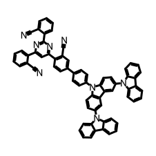 N#Cc1ccccc1-c1cc(-c2ccc(-c3ccc(-n4c5ccc(-n6c7ccccc7c7ccccc76)cc5c5cc(-n6c7ccccc7c7ccccc76)ccc54)cc3)cc2C#N)nc(-c2ccccc2C#N)n1